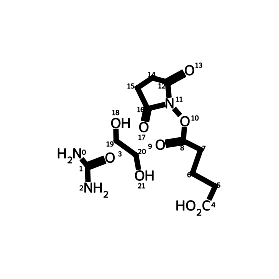 NC(N)=O.O=C(O)CCCC(=O)ON1C(=O)CCC1=O.OCCO